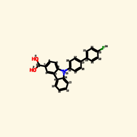 OB(O)c1ccc2c(c1)c1ccccc1n2-c1ccc(-c2ccc(F)cc2)cc1